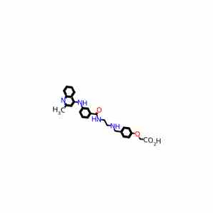 Cc1cc(Nc2cccc(C(=O)NCCNCc3ccc(OCC(=O)O)cc3)c2)c2ccccc2n1